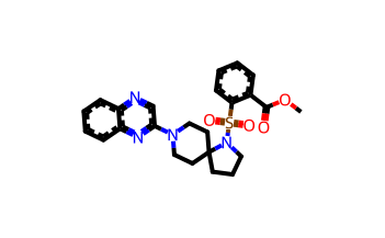 COC(=O)c1ccccc1S(=O)(=O)N1CCCC12CCN(c1cnc3ccccc3n1)CC2